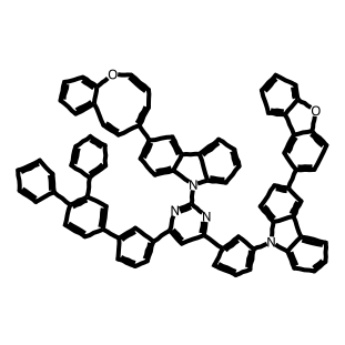 c1ccc(-c2ccc(-c3cccc(-c4cc(-c5cccc(-n6c7ccccc7c7cc(-c8ccc9oc%10ccccc%10c9c8)ccc76)c5)nc(-n5c6ccccc6c6cc(-c7cccoc8ccccc8cc7)ccc65)n4)c3)cc2-c2ccccc2)cc1